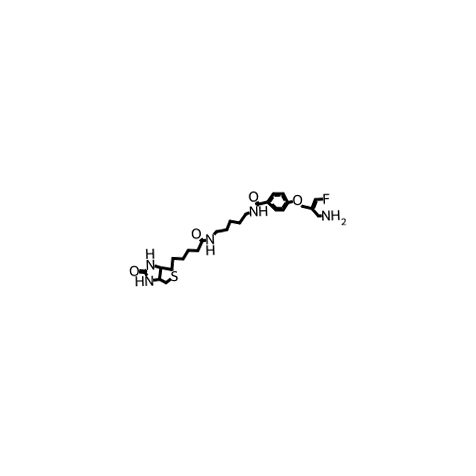 NCC(=CF)COc1ccc(C(=O)NCCCCCNC(=O)CCCCC2SCC3NC(=O)NC32)cc1